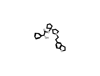 O=C(OC1([C@H]2CCN(CCc3ccc4c(c3)CCO4)C2)CCCC1)[C@H](O)c1ccccc1